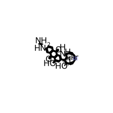 CC(C)[C@@]12O[C@]13c1cc(O)c4c(c1N[C@H]2C#C/C=C\C#C[C@H]3O)C(=O)c1ccc(NCCN)cc1C4=O